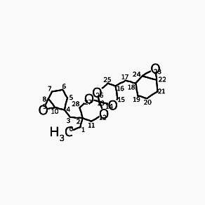 CCC1(CC2CCCC3OC23)COC2(OCC(CC3CCCC4OC34)CO2)OC1